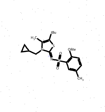 COc1ccc(C)cc1S(=O)(=O)/N=c1\sc(C(C)(C)C)c(C)n1CC1CC1